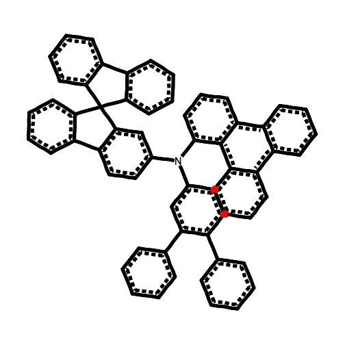 c1ccc(-c2ccc(N(c3ccc4c(c3)C3(c5ccccc5-c5ccccc53)c3ccccc3-4)c3cccc4c5ccccc5c5ccccc5c34)cc2-c2ccccc2)cc1